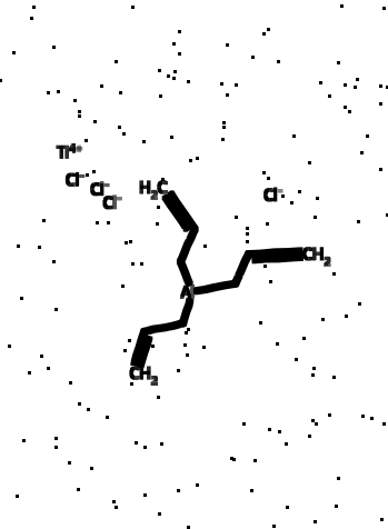 C=C[CH2][Al]([CH2]C=C)[CH2]C=C.[Cl-].[Cl-].[Cl-].[Cl-].[Ti+4]